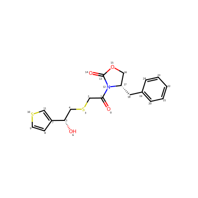 O=C(CSC[C@H](O)c1ccsc1)N1C(=O)OC[C@@H]1Cc1ccccc1